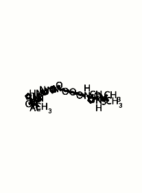 CC(=O)c1c(C)c2cnc(Nc3ccc(N4CCN(C(=O)CCOCCOCCOCCNc5cccc(C(=O)Nc6nc(C)c(C)s6)c5C)CC4)cn3)nc2n(C2CCCC2)c1=O